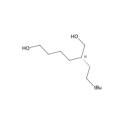 CC(C)(C)CC[C@@H](CO)CCCCO